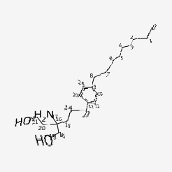 CCCCCCCCCc1ccc(CCCC(N)(CO)CCO)cc1